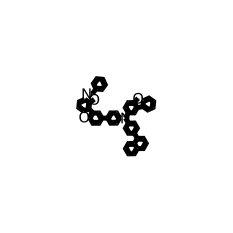 c1ccc(-c2nc3ccc4oc5ccc(-c6ccc(N(c7ccc(-c8cccc9ccccc89)cc7)c7ccc8oc9ccccc9c8c7)cc6)cc5c4c3o2)cc1